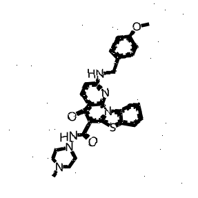 COc1ccc(CNc2ccc3c(=O)c(C(=O)NN4CCN(C)CC4)c4sc5ccccc5n4c3n2)cc1